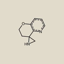 c1cnc2c(c1)OCCC21CN1